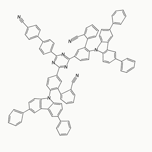 N#Cc1ccc(-c2ccc(-c3nc(-c4ccc(-n5c6ccc(-c7ccccc7)cc6c6cc(-c7ccccc7)ccc65)c(-c5ccccc5C#N)c4)nc(-c4ccc(-n5c6ccc(-c7ccccc7)cc6c6cc(-c7ccccc7)ccc65)c(-c5ccccc5C#N)c4)n3)cc2)cc1